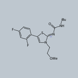 CCC(C)NC(=O)/N=c1\sc(-c2ccc(F)cc2F)cn1CCOC